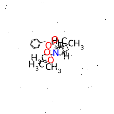 CC(C)(C)OC(=O)N1C[C@@H]2CC(C)(C)[C@@H]2[C@H]1C(=O)OCc1ccccc1